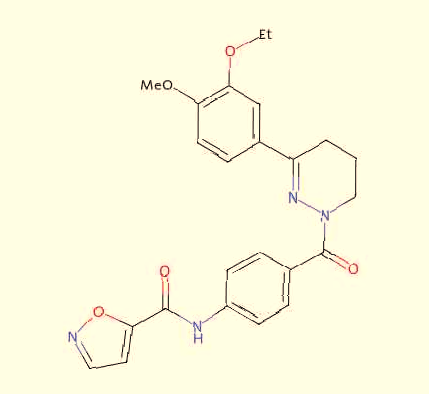 CCOc1cc(C2=NN(C(=O)c3ccc(NC(=O)c4ccno4)cc3)CCC2)ccc1OC